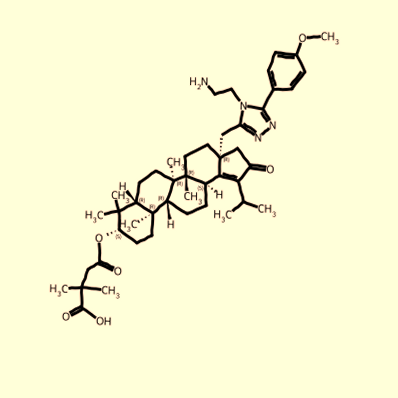 COc1ccc(-c2nnc(C[C@@]34CC[C@]5(C)[C@H](CC[C@@H]6[C@@]7(C)CC[C@H](OC(=O)CC(C)(C)C(=O)O)C(C)(C)[C@@H]7CC[C@]65C)C3=C(C(C)C)C(=O)C4)n2CCN)cc1